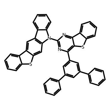 c1ccc(-c2cc(-c3ccccc3)cc(-c3nc(-n4c5ccccc5c5cc6c(cc54)sc4ccccc46)nc4c3sc3ccccc34)c2)cc1